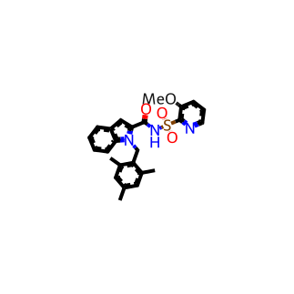 COc1cccnc1S(=O)(=O)NC(=O)c1cc2ccccc2n1Cc1c(C)cc(C)cc1C